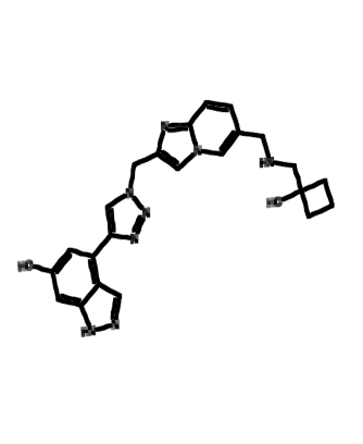 Oc1cc(-c2cn(Cc3cn4cc(CNCC5(O)CCC5)ccc4n3)nn2)c2cn[nH]c2c1